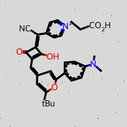 CN(C)c1ccc(C2=CC(=CC3=C(O)/C(=C(/C#N)c4cc[n+](CCC(=O)O)cc4)C3=O)C=C(C(C)(C)C)O2)cc1